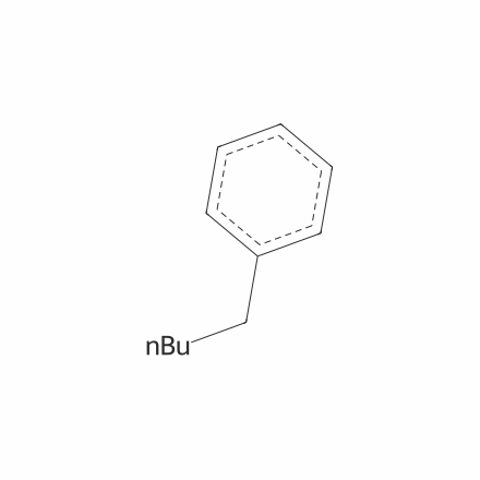 [CH]CCCCc1ccccc1